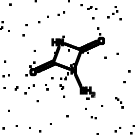 BN1C(=O)NC1=O